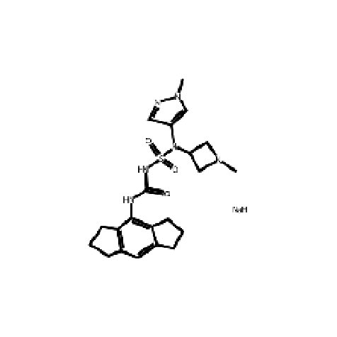 CN1CC(N(c2cnn(C)c2)S(=O)(=O)NC(=O)Nc2c3c(cc4c2CCC4)CCC3)C1.[NaH]